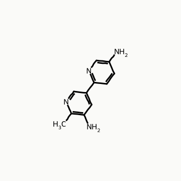 Cc1ncc(-c2ccc(N)cn2)cc1N